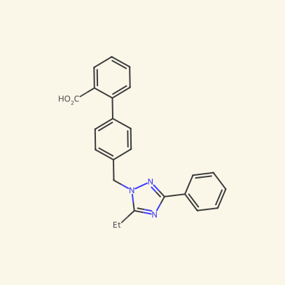 CCc1nc(-c2ccccc2)nn1Cc1ccc(-c2ccccc2C(=O)O)cc1